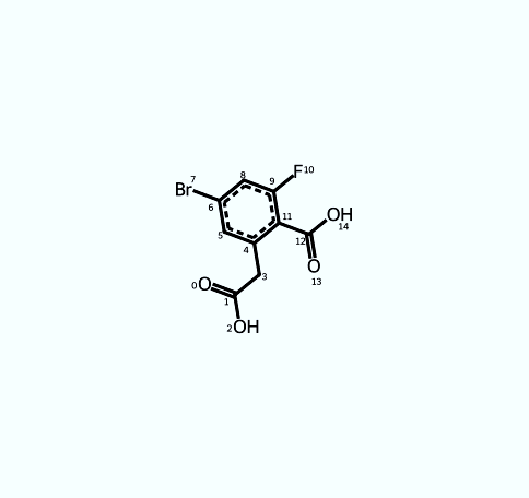 O=C(O)Cc1cc(Br)cc(F)c1C(=O)O